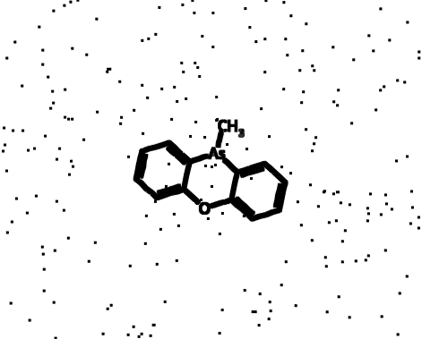 C[As]1c2ccccc2Oc2ccccc21